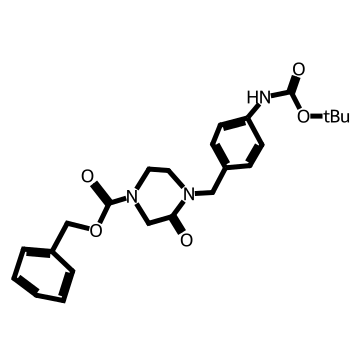 CC(C)(C)OC(=O)Nc1ccc(CN2CCN(C(=O)OCc3ccccc3)CC2=O)cc1